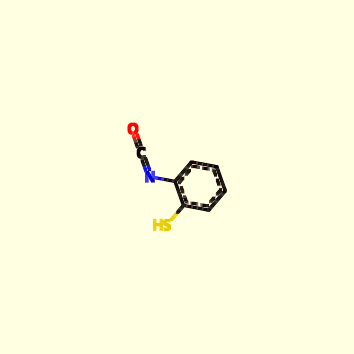 O=C=Nc1ccccc1S